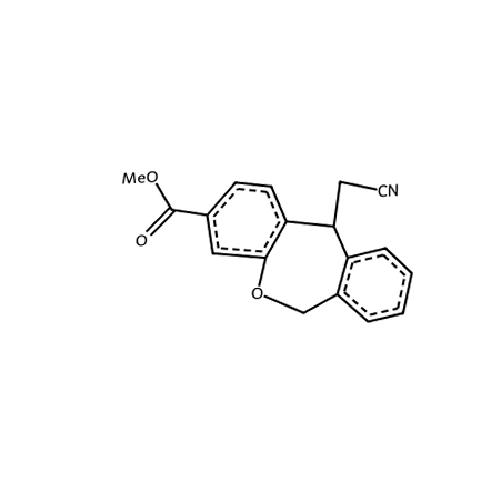 COC(=O)c1ccc2c(c1)OCc1ccccc1C2CC#N